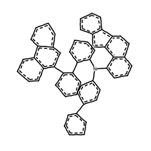 c1ccc(-c2ccc(N(c3ccccc3-c3ccccc3-c3cc4ccccc4c4ccccc34)c3cccc4ccc5c6ccccc6oc5c34)cc2)cc1